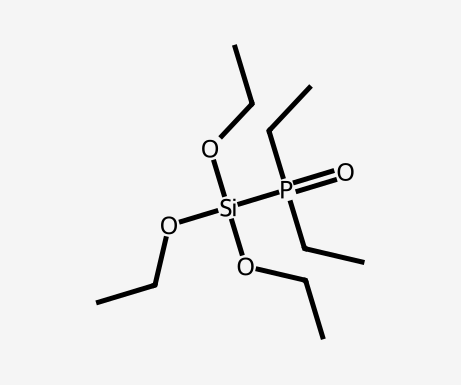 CCO[Si](OCC)(OCC)P(=O)(CC)CC